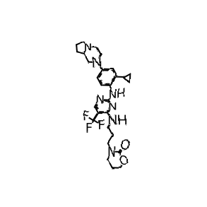 O=C1OCCCN1CCCNc1nc(Nc2ccc(N3CCN4CCCC4C3)cc2C2CC2)ncc1C(F)(F)F